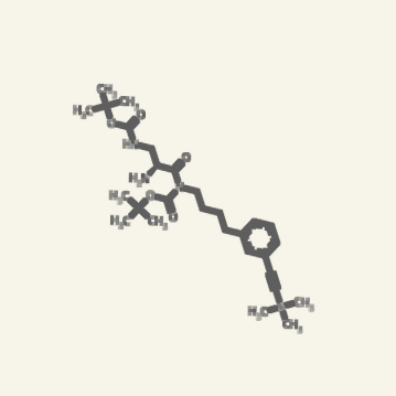 CC(C)(C)OC(=O)NC[C@H](N)C(=O)N(CCCCc1cccc(C#C[Si](C)(C)C)c1)C(=O)OC(C)(C)C